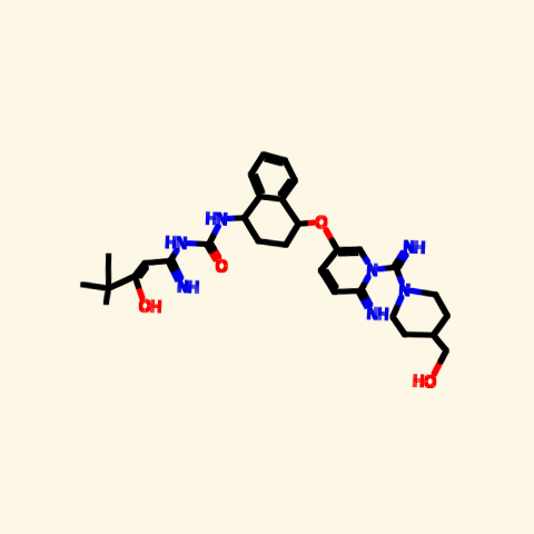 CC(C)(C)/C(O)=C/C(=N)NC(=O)NC1CCC(Oc2ccc(=N)n(C(=N)N3CCC(CO)CC3)c2)c2ccccc21